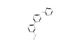 O=CCCc1cccc(-c2ccc(Oc3ccccc3)cc2)c1